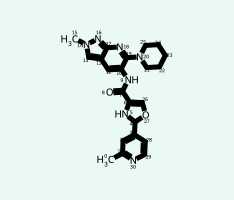 Cc1cc(C2NC(C(=O)Nc3cc4cn(C)nc4nc3N3CCCCC3)=CO2)ccn1